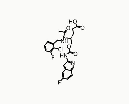 CC(=O)N(NCc1cccc(F)c1Cl)[C@@H](CCC(=O)O)COC(=O)Nc1cc2cc(F)ccc2cn1